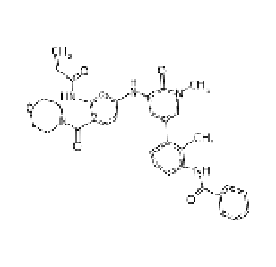 C=CC(=O)Nc1cc(Nc2cc(-c3cccc(NC(=O)c4ccccc4)c3C)cn(C)c2=O)ccc1C(=O)N1CCOCC1